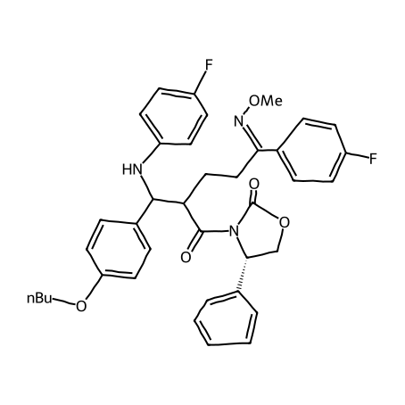 CCCCOc1ccc(C(Nc2ccc(F)cc2)C(CC/C(=N/OC)c2ccc(F)cc2)C(=O)N2C(=O)OC[C@@H]2c2ccccc2)cc1